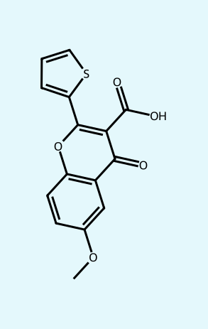 COc1ccc2oc(-c3cccs3)c(C(=O)O)c(=O)c2c1